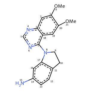 COc1cc2ncnc(N3CCc4ccc(N)cc43)c2cc1OC